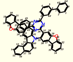 c1ccc(-c2cccc(-c3nc(-c4ccc5oc6ccccc6c5c4)nc(-c4cc5oc6ccccc6c5cc4-n4c5cc6ccccc6cc5c5c6ccccc6ccc54)n3)c2)cc1